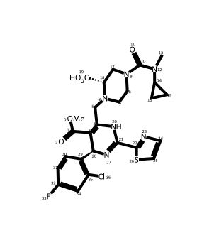 COC(=O)C1=C(CN2CCN(C(=O)N(C)C3CC3)C[C@H]2C(=O)O)NC(c2nccs2)=N[C@H]1c1ccc(F)cc1Cl